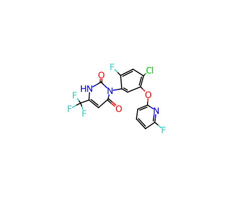 O=c1cc(C(F)(F)F)[nH]c(=O)n1-c1cc(Oc2cccc(F)n2)c(Cl)cc1F